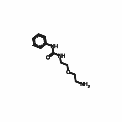 NCCOCCNC(=O)Nc1c[c]ccc1